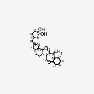 CN1C(=O)[C@@H](N2CCc3cn(CC4CCS(O)(O)C4)nc3C2=O)COc2ccccc21